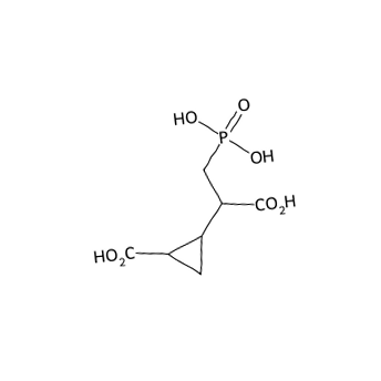 O=C(O)C1CC1C(CP(=O)(O)O)C(=O)O